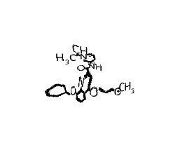 COCCCOc1cc(C(=O)N[C@@H]2CCCN(C(C)C)C2)nc2c(OCC3CCCCC3)cccc12